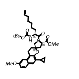 C=CCCCCC[C@H](NC(=O)OC(C)(C)C)C(=O)N1C[C@@]2(CCc3c(c(C4CC4)cc4ccc(OC)cc34)O2)C[C@H]1C(=O)OC